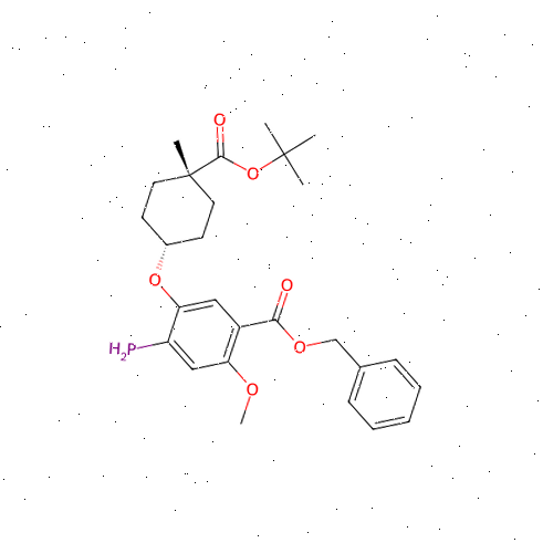 COc1cc(P)c(O[C@H]2CC[C@@](C)(C(=O)OC(C)(C)C)CC2)cc1C(=O)OCc1ccccc1